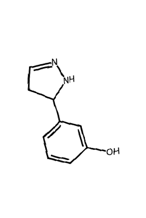 Oc1cccc(C2CC=NN2)c1